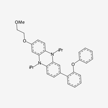 COCCOc1ccc2c(c1)N(C(C)C)c1ccc(-c3ccccc3Oc3ccccc3)cc1N2C(C)C